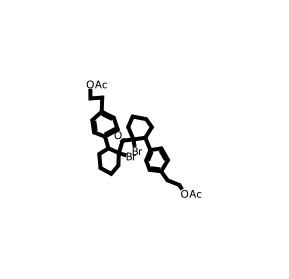 CC(=O)OCCc1ccc(C2CCCCC2(Br)C(=O)C2(Br)CCCCC2c2ccc(CCOC(C)=O)cc2)cc1